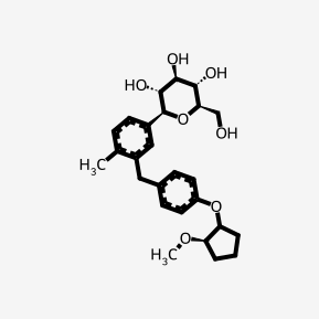 CO[C@@H]1CCCC1Oc1ccc(Cc2cc([C@@H]3O[C@H](CO)[C@@H](O)[C@H](O)[C@H]3O)ccc2C)cc1